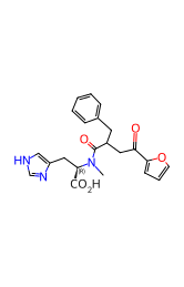 CN(C(=O)C(CC(=O)c1ccco1)Cc1ccccc1)[C@H](Cc1c[nH]cn1)C(=O)O